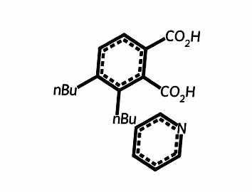 CCCCc1ccc(C(=O)O)c(C(=O)O)c1CCCC.c1ccncc1